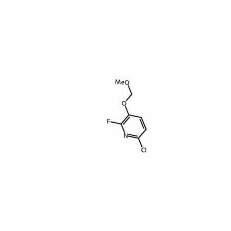 COCOc1ccc(Cl)nc1F